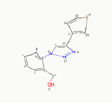 OCc1ccccc1-n1cc(-c2ccsc2)nn1